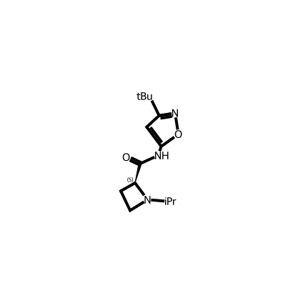 CC(C)N1CC[C@H]1C(=O)Nc1cc(C(C)(C)C)no1